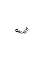 CC(=O)Cc1cccc(COCC(F)(F)c2ccccc2)c1